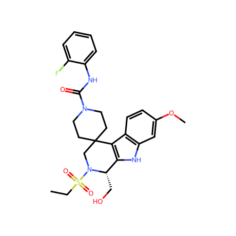 CCS(=O)(=O)N1CC2(CCN(C(=O)Nc3ccccc3F)CC2)c2c([nH]c3cc(OC)ccc23)[C@@H]1CO